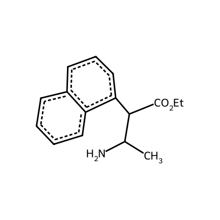 CCOC(=O)C(c1cccc2ccccc12)C(C)N